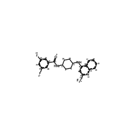 O=C(NC1CCC(Nc2cc(C(F)(F)F)nc3ccccc23)CC1)c1cc(F)cc(F)c1